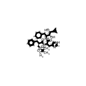 CC(C)(C)S(=O)(=O)C[C@@H](Cc1ccccc1)C(=O)NC(Cc1c[nH]cn1)C(=O)NC(CC1CCCCC1)[C@@H](O)[C@@H](O)C1CC1